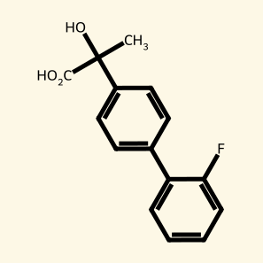 CC(O)(C(=O)O)c1ccc(-c2ccccc2F)cc1